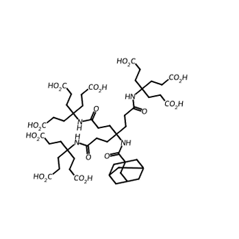 O=C(O)CCC(CCC(=O)O)(CCC(=O)O)NC(=O)CCC(CCC(=O)NC(CCC(=O)O)(CCC(=O)O)CCC(=O)O)(CCC(=O)NC(CCC(=O)O)(CCC(=O)O)CCC(=O)O)NC(=O)C12CC3CC(CC(C3)C1)C2